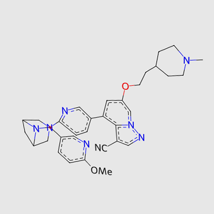 COc1ccc(CN2C3CC2CN(c2ccc(-c4cc(OCCC5CCN(C)CC5)cn5ncc(C#N)c45)cn2)C3)cn1